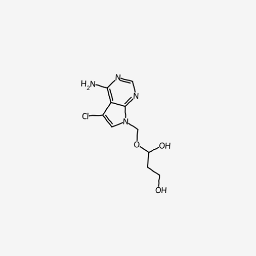 Nc1ncnc2c1c(Cl)cn2COC(O)CCO